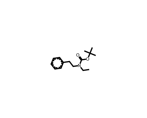 CCN(CCc1ccccc1)C(=O)OC(C)(C)C